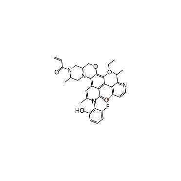 C=CC(=O)N1CC2COc3c(OCC)c(-c4c(C)ccnc4C(C)C)c4c(=O)n(-c5c(O)cccc5F)c(C)cc4c3N2CC1C